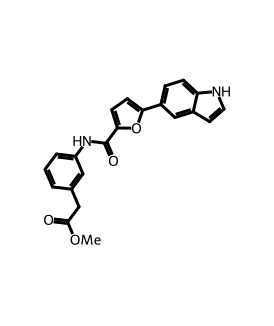 COC(=O)Cc1cccc(NC(=O)c2ccc(-c3ccc4[nH]ccc4c3)o2)c1